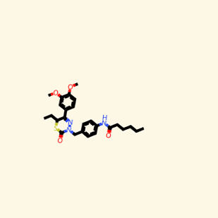 CCCCCC(=O)Nc1ccc(CN2N=C(c3ccc(OC)c(OC)c3)C(CC)SC2=O)cc1